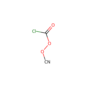 N#COOC(=O)Cl